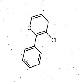 ClC1=C(c2ccccc2)OC=CC1